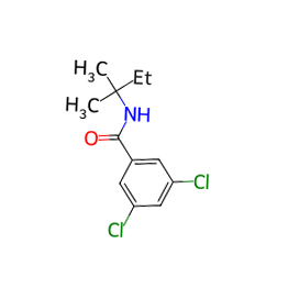 CCC(C)(C)NC(=O)c1cc(Cl)cc(Cl)c1